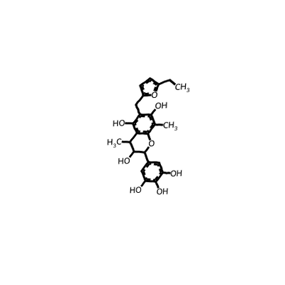 CCc1ccc(Cc2c(O)c(C)c3c(c2O)C(C)C(O)C(c2cc(O)c(O)c(O)c2)O3)o1